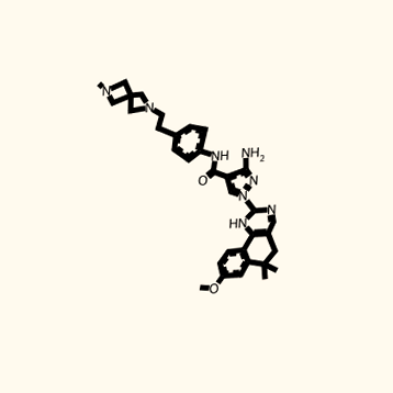 COc1ccc2c(c1)C(C)(C)CC1=C2NC(n2cc(C(=O)Nc3ccc(CCN4CC5(CN(C)C5)C4)cc3)c(N)n2)N=C1